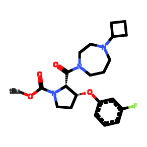 CC(C)(C)OC(=O)N1CC[C@@H](Oc2cccc(F)c2)[C@H]1C(=O)N1CCCN(C2CCC2)CC1